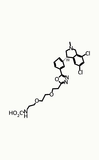 CN1Cc2c(Cl)cc(Cl)cc2[C@H](c2cccc(-c3nnc(CCOCCOCCNC(=O)O)o3)c2)C1